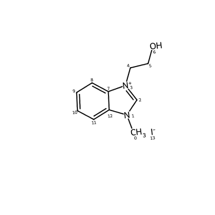 Cn1c[n+](CCO)c2ccccc21.[I-]